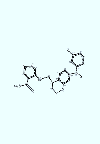 COC(=O)c1ccncc1NC[C@@H]1CCOc2cc(N(C)c3cccc(C)c3)ccc21